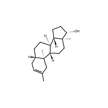 CC1=CC[C@@H]2CC[C@@H]3[C@H](CC[C@]4(C)[C@@H](O)CC[C@@H]34)[C@@]2(C)C1